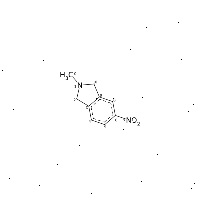 CN1Cc2ccc([N+](=O)[O-])cc2C1